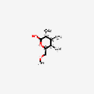 CCCOC[C@H]1OC(O)[C@H](OC(C)=O)[C@@H](OC(C)=O)[C@H]1OC(C)=O